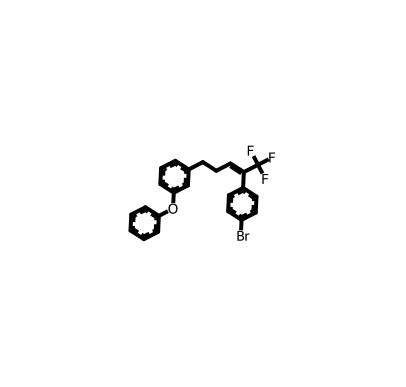 FC(F)(F)/C(=C/CCc1cccc(Oc2ccccc2)c1)c1ccc(Br)cc1